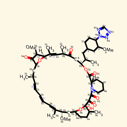 COC1CC(CC(C)[C@@H]2CC(=O)[C@H](C)/C=C(\C)[C@H]3OC(C[C@H](C)/C=C/C=C/C=C(\C)[C@@H](OC)C[C@@H]4CCC(C)[C@@](O)(O4)C(=O)C(=O)N4CCCC[C@H]4C(=O)O2)C(=O)C3OC)CCC1n1ncnn1